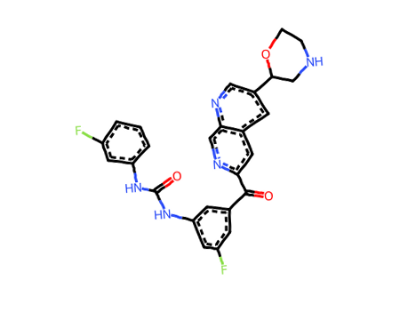 O=C(Nc1cccc(F)c1)Nc1cc(F)cc(C(=O)c2cc3cc(C4CNCCO4)cnc3cn2)c1